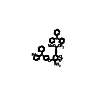 COC(C)C#Cc1cc(Cl)c(N)c2c1OCO2.[Pd].c1ccc(P(c2ccccc2)c2ccccc2)cc1.c1ccc(P(c2ccccc2)c2ccccc2)cc1